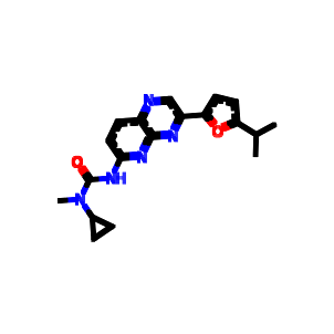 CC(C)c1ccc(-c2cnc3ccc(NC(=O)N(C)C4CC4)nc3n2)o1